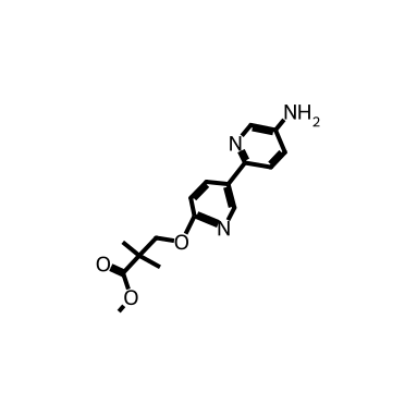 COC(=O)C(C)(C)COc1ccc(-c2ccc(N)cn2)cn1